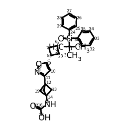 CC(C)(C)[Si](O[C@H]1C[C@@H](c2cc(C34CC(NC(=O)O)(C3)C4)no2)C1)(c1ccccc1)c1ccccc1